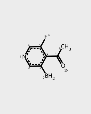 Bc1cncc(F)c1C(C)=O